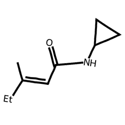 CC/C(C)=C/C(=O)NC1CC1